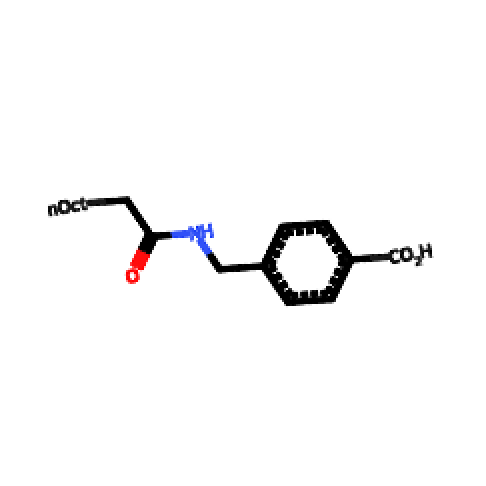 CCCCCCCCCC(=O)NCc1ccc(C(=O)O)cc1